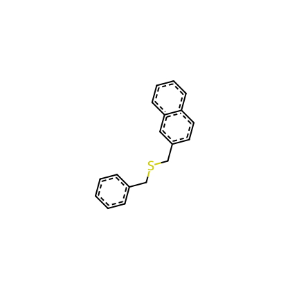 c1ccc(CSCc2ccc3ccccc3c2)cc1